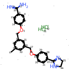 Cc1cc(COc2ccc(C(=N)N)cc2)cc(COc2ccc(C3=NCCN3)cc2)c1.Cl.Cl